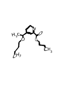 CCCCOC(=O)c1cc(C(C)OCCCC)ccn1